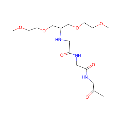 COCCOCC(COCCOC)NCC(=O)NCC(=O)NCC(C)=O